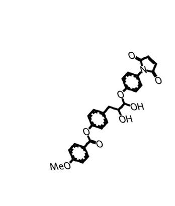 COc1ccc(C(=O)Oc2ccc(CC(O)C(O)Oc3ccc(N4C(=O)C=CC4=O)cc3)cc2)cc1